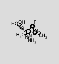 COc1cccc(-c2cc(F)ccc2C2CC(=NOCC(CO)CO)c3c(C)nc(N)nc3C2)n1